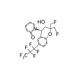 O=c1ccccn1[C@@H]1c2cc(C(F)(F)C(F)(F)C(F)(F)F)ccc2OC(CF)(CF)[C@H]1O